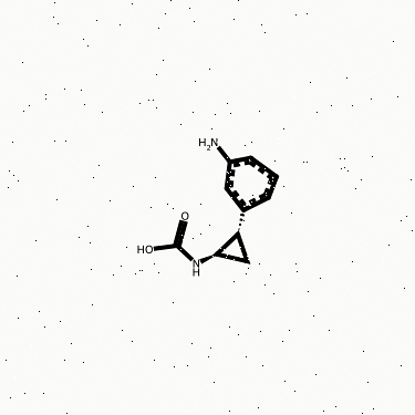 Nc1cccc([C@@H]2C[C@H]2NC(=O)O)c1